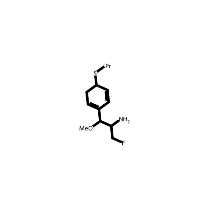 COC(C1=CCC(SC(C)C)C=C1)C(N)CF